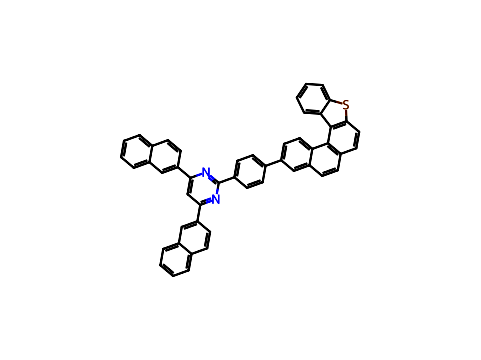 c1ccc2cc(-c3cc(-c4ccc5ccccc5c4)nc(-c4ccc(-c5ccc6c(ccc7ccc8sc9ccccc9c8c76)c5)cc4)n3)ccc2c1